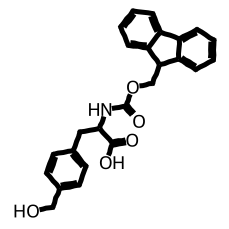 O=C(NC(Cc1ccc(CO)cc1)C(=O)O)OCC1c2ccccc2-c2ccccc21